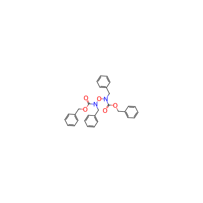 O=C(OCc1ccccc1)N(Cc1ccccc1)ON(Cc1ccccc1)C(=O)OCc1ccccc1